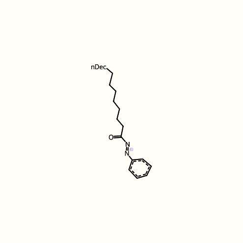 CCCCCCCCCCCCCCCCCC(=O)/N=N/c1ccccc1